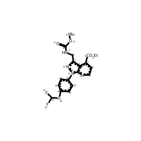 CCOC(=O)c1ccnc2c1c(CNC(=O)OC(C)(C)C)nn2-c1ccc(OC(F)F)cc1